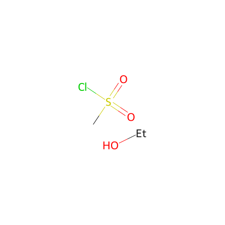 CCO.CS(=O)(=O)Cl